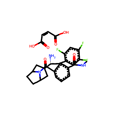 CNC(=O)c1cccc(C(=O)N2C3CCC2CC([C@H](N)Cc2cc(F)c(F)cc2F)C3)c1.O=C(O)/C=C\C(=O)O